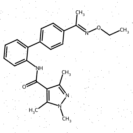 CCO/N=C(\C)c1ccc(-c2ccccc2NC(=O)c2c(C)nn(C)c2C)cc1